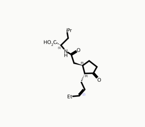 CC/C=C\C[C@H]1C(=O)CC[C@@H]1CC(=O)N[C@@H](CC(C)C)C(=O)O